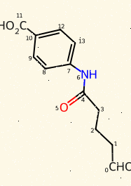 O=CCCCC(=O)Nc1ccc(C(=O)O)cc1